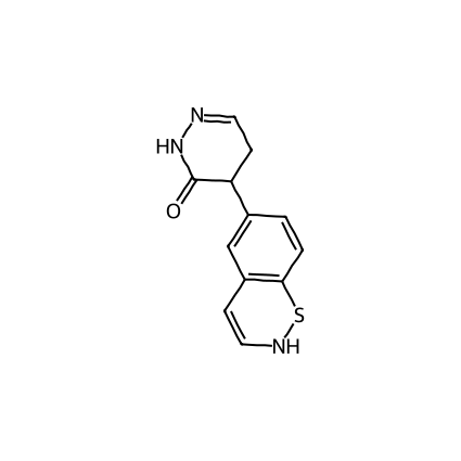 O=C1NN=CCC1c1ccc2c(c1)C=CNS2